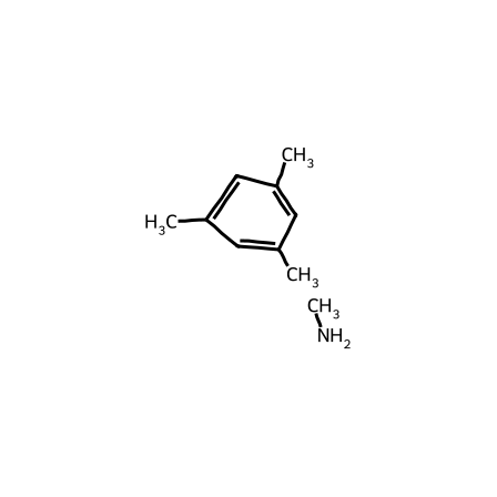 CN.Cc1cc(C)cc(C)c1